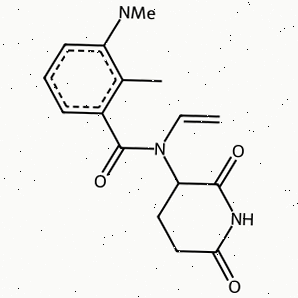 C=CN(C(=O)c1cccc(NC)c1C)C1CCC(=O)NC1=O